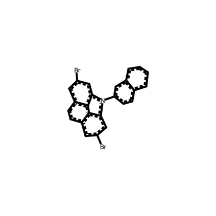 Brc1cc2ccc3cc(Br)cc4c3c2c(c1)n4-c1ccc2ccccc2c1